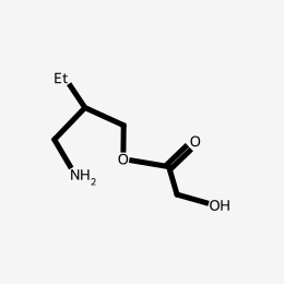 CCC(CN)COC(=O)CO